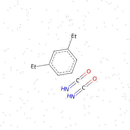 CCc1cccc(CC)c1.N=C=O.N=C=O